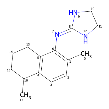 Cc1ccc2c(c1N=C1NCCN1)CCCC2C